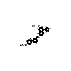 CO[C@H]1CC[C@](OC)(c2cccc(COc3ccc4c(-c5ccsc5)cc(C(=O)O)cc4c3)c2)CC1